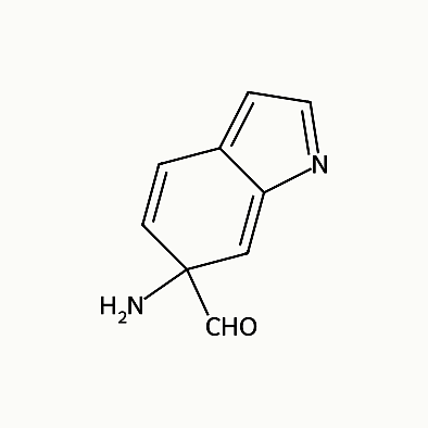 NC1(C=O)C=CC2=CC=NC2=C1